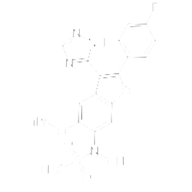 CC(C)Oc1cc2c(-c3ncn[nH]3)c(-c3ccc(F)cc3)oc2cc1N(C)S(C)(=O)=O